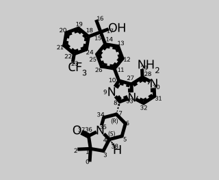 CC1(C)C[C@@H]2CC[C@@H](c3nc(-c4ccc(C(C)(O)c5cccc(C(F)(F)F)c5)cc4)c4c(N)nccn34)CN2C1=O